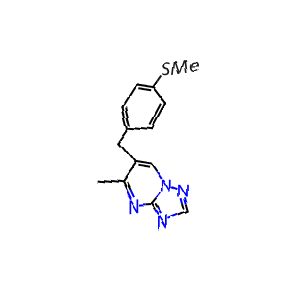 CSc1ccc(Cc2cn3ncnc3nc2C)cc1